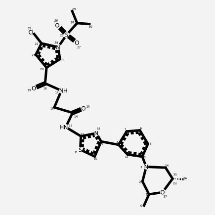 CC1CN(c2cccc(-c3csc(NC(=O)CNC(=O)c4cc(Cl)n(S(=O)(=O)C(C)C)c4)n3)c2)C[C@H](C)O1